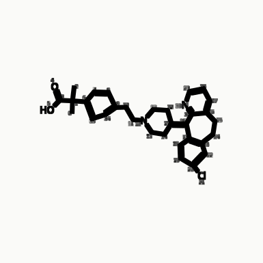 CC(C)(C(=O)O)c1ccc(CCN2CCC(=C3c4ccc(Cl)cc4CCc4cccnc43)CC2)cc1